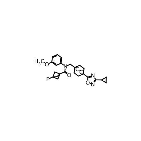 COc1cccc(N(CC23CCC(c4nc(C5CC5)no4)(CC2)CC3)C(=O)C23CC(F)(C2)C3)c1